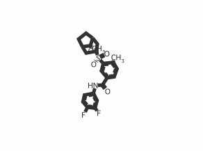 Cc1ccc(C(=O)Nc2ccc(F)c(F)c2)cc1S(=O)(=O)C1CC2CCC(C1)C2(C)O